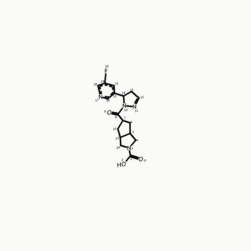 O=C(O)N1CC2CC(C(=O)N3N=CCC3c3cncc(F)c3)CC2C1